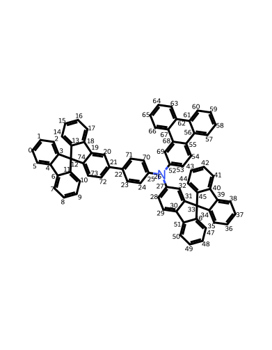 c1ccc2c(c1)-c1ccccc1C21c2ccccc2-c2cc(-c3ccc(N(c4ccc5c(c4)C4(c6ccccc6-c6ccccc64)c4ccccc4-5)c4ccc5c6ccccc6c6ccccc6c5c4)cc3)ccc21